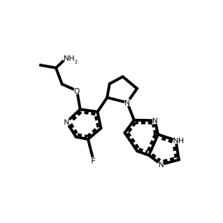 CC(N)COc1ncc(F)cc1C1CCCN1c1ccc2nc[nH]c2n1